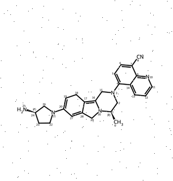 C[C@@H]1CN(c2ccc(C#N)c3ncccc23)CC2=C3CC=C(N4CC[C@@H](N)C4)C=C3CN21